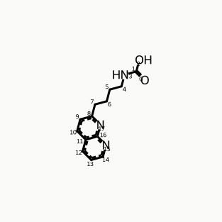 O=C(O)NCCCCc1ccc2cccnc2n1